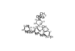 CC(c1ccc(F)cc1)c1c(C2CCN(S(C)(=O)=O)CC2)cc(Nc2cnccn2)nc1N